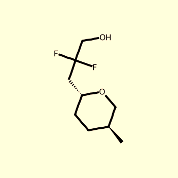 C[C@H]1CC[C@H](CC(F)(F)CO)OC1